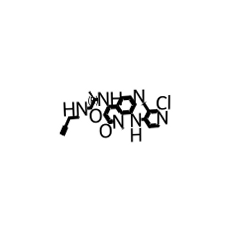 C#CCCNC(=O)[C@@H](C)Nc1cc(=O)n(C)c2c(Nc3ccnc(Cl)c3C#N)cccc12